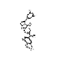 O=C(c1cnc2snnc2c1)N1CCC2(CC1)OC1CCC(c3cc(F)cc(F)c3)N1C2=O